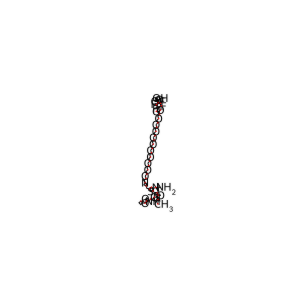 CCCN(OCCNC(=O)OC1CCC1)C(=O)C1=Cc2sc(CC3CN(CCOCCOCCOCCOCCOCCOCCOCCOCCOCCOCCC(=O)Oc4c(F)c(F)c(S(=O)(=O)O)c(F)c4F)C3)cc2N=C(N)C1